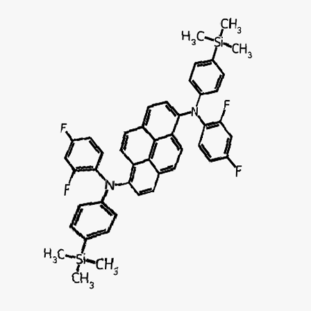 C[Si](C)(C)c1ccc(N(c2ccc(F)cc2F)c2ccc3ccc4c(N(c5ccc([Si](C)(C)C)cc5)c5ccc(F)cc5F)ccc5ccc2c3c54)cc1